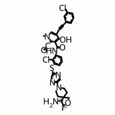 C[C@@H]1OCC2(CCN(c3cnc(Sc4cccc(NC(=O)C5=C(O)C(C#Cc6cccc(Cl)c6)=CN(C)C5=C=O)c4Cl)cn3)CC2)[C@@H]1N